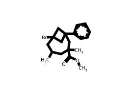 COC(=O)C1(C)CC(C)CC2(Br)CC(c3ccccc3)(C2)C1